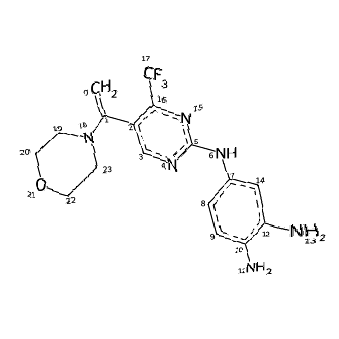 C=C(c1cnc(Nc2ccc(N)c(N)c2)nc1C(F)(F)F)N1CCOCC1